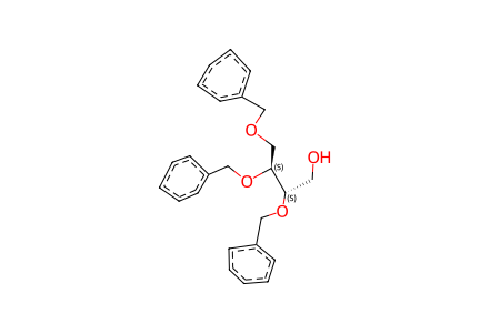 OC[C@H](OCc1ccccc1)[C@H](COCc1ccccc1)OCc1ccccc1